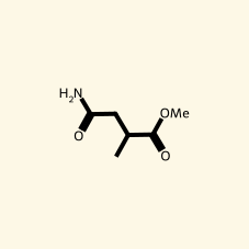 COC(=O)C(C)CC(N)=O